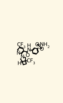 NS(=O)(=O)c1cccc(NC(=O)c2cc(C(F)(F)F)cnc2N2C[C@H]3CC[C@@]3(C(F)(F)F)C2)c1